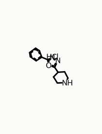 Cl.c1ccc(-c2nnc(C3CCNCC3)o2)cc1